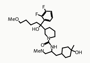 CNCC(CC1CCC(C)(O)CC1)NC(=O)N1CCCC(C(O)(CCCCOC)c2cccc(F)c2F)C1